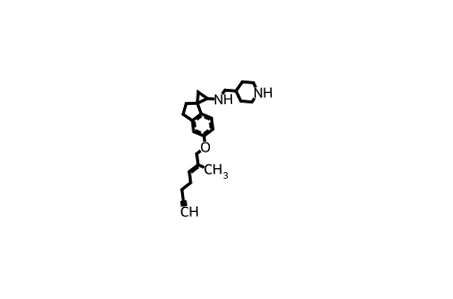 C#CCC/C=C(\C)COc1ccc2c(c1)CCC21CC1NCC1CCNCC1